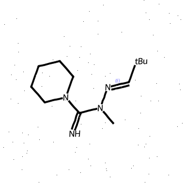 CN(/N=C/C(C)(C)C)C(=N)N1CCCCC1